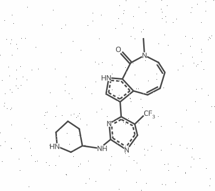 CN1C=CC=Cc2c(-c3nc(NC4CCCNC4)ncc3C(F)(F)F)c[nH]c2C1=O